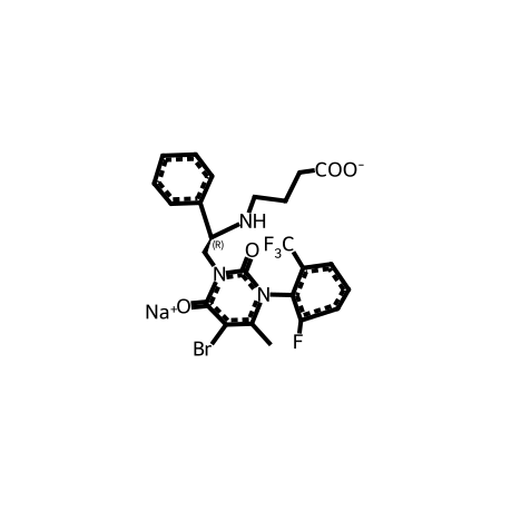 Cc1c(Br)c(=O)n(C[C@H](NCCCC(=O)[O-])c2ccccc2)c(=O)n1-c1c(F)cccc1C(F)(F)F.[Na+]